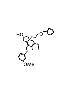 COc1cccc(CCC2=C3C[C@H](O)C[C@]3(CCCOCc3ccccc3)CC(SI)=C2C)c1